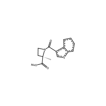 COC(=O)[C@@]1(C)CCN1C(=O)c1csc2ccccc12